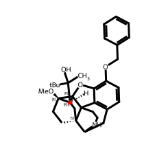 CO[C@]12CC[C@@]3(C[C@@H]1C(C)(O)C(C)(C)C)C1Cc4ccc(OCc5ccccc5)c5c4C3(CCN1)[C@H]2O5